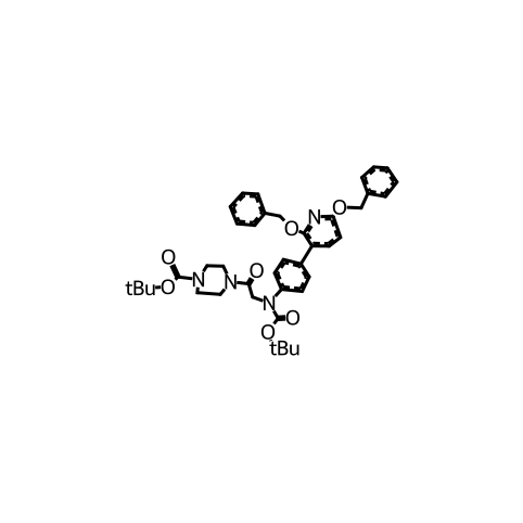 CC(C)(C)OC(=O)N1CCN(C(=O)CN(C(=O)OC(C)(C)C)c2ccc(-c3ccc(OCc4ccccc4)nc3OCc3ccccc3)cc2)CC1